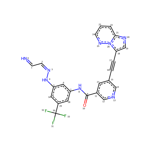 N=C/C=N\Nc1cc(NC(=O)c2cncc(C#Cc3cnc4cccnn34)c2)cc(C(F)(F)F)c1